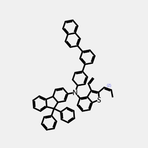 C=Cc1c(/C=C\C)sc2cccc(N(C3=CC4C(C=C3)c3ccccc3C4(c3ccccc3)c3ccccc3)C3C=CC(c4cccc(-c5ccc6ccccc6c5)c4)=CC3)c12